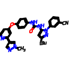 Cn1cc(-c2cc(Oc3ccc(NC(=O)Nc4cc(C(C)(C)C)nn4-c4cccc(C#N)c4)cc3)ccn2)cn1